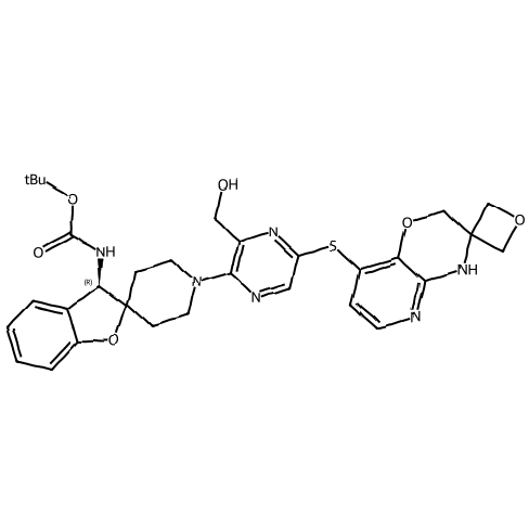 CC(C)(C)OC(=O)N[C@@H]1c2ccccc2OC12CCN(c1ncc(Sc3ccnc4c3OCC3(COC3)N4)nc1CO)CC2